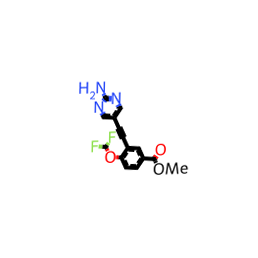 COC(=O)c1ccc(OC(F)F)c(C#Cc2cnc(N)nc2)c1